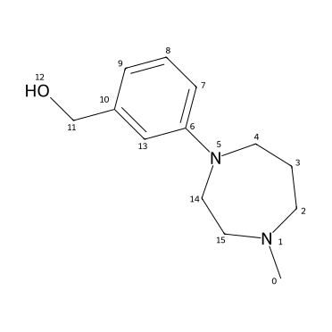 CN1CCCN(c2cccc(CO)c2)CC1